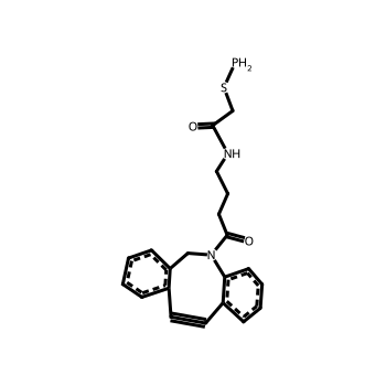 O=C(CSP)NCCCC(=O)N1Cc2ccccc2C#Cc2ccccc21